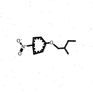 CCC(C)COc1ccc([N+](=O)[O-])cc1